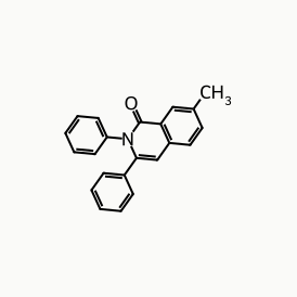 Cc1ccc2cc(-c3ccccc3)n(-c3ccccc3)c(=O)c2c1